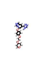 Cn1cnnc1-c1cc(Oc2ccc(OCCOC3CCOCC3)cc2)n2cncc2c1